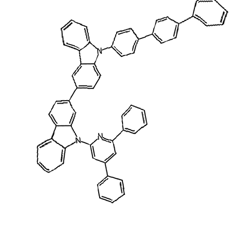 c1ccc(-c2ccc(-c3ccc(-n4c5ccccc5c5cc(-c6ccc7c8ccccc8n(-c8cc(-c9ccccc9)cc(-c9ccccc9)n8)c7c6)ccc54)cc3)cc2)cc1